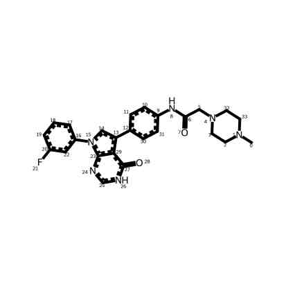 CN1CCN(CC(=O)Nc2ccc(-c3cn(-c4cccc(F)c4)c4nc[nH]c(=O)c34)cc2)CC1